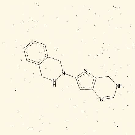 C1=Nc2cc(N3Cc4ccccc4CN3)sc2CN1